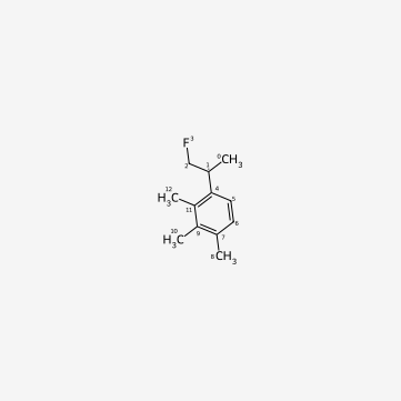 C[C](CF)c1ccc(C)c(C)c1C